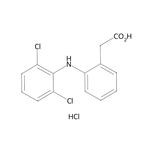 Cl.O=C(O)Cc1ccccc1Nc1c(Cl)cccc1Cl